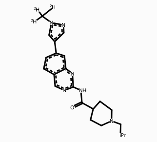 [2H]C([2H])([2H])n1cc(-c2ccc3cnc(NC(=O)C4CCN(CC(C)C)CC4)nc3c2)cn1